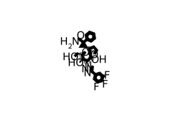 NC(=O)C1(c2ccccc2)CC1[C@H]1CCO[C@]12O[C@H](CO)[C@H](O)[C@H](n1cc(-c3cc(F)c(F)c(F)c3)nn1)[C@H]2O